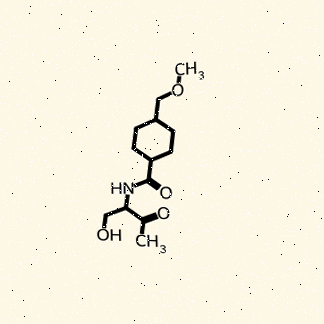 COCC1CCC(C(=O)NC(CO)C(C)=O)CC1